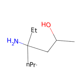 CC[CH]C(N)(CC)CC(C)O